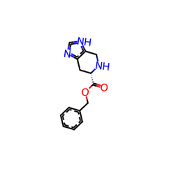 O=C(OCc1ccccc1)[C@@H]1Cc2nc[nH]c2CN1